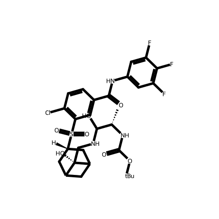 C[C@H](NC(=O)OC(C)(C)C)C(O)NC[C@]1(O)C2CC1C[C@@H](S(=O)(=O)c1cc(C(=O)Nc3cc(F)c(F)c(F)c3)ccc1Cl)C2